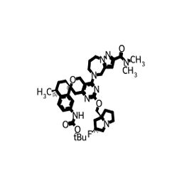 C[C@H]1CC[C@@]2(Cc3nc(OC[C@@]45CCCN4C[C@H](F)C5)nc(N4CCCn5nc(C(=O)N(C)C)cc5C4)c3CO2)c2cc(NC(=O)OC(C)(C)C)ccc21